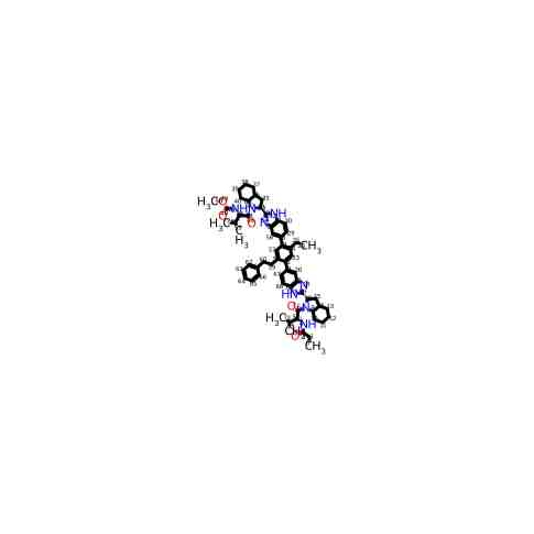 CCC(=O)N[C@H](C(=O)N1C2CCCCC2C[C@H]1c1nc2cc(-c3cc(CC)c(-c4ccc5[nH]c([C@@H]6CC7CCCCC7N6C(=O)[C@@H](NC(=O)OC)C(C)C)nc5c4)cc3CCc3ccccc3)ccc2[nH]1)C(C)C